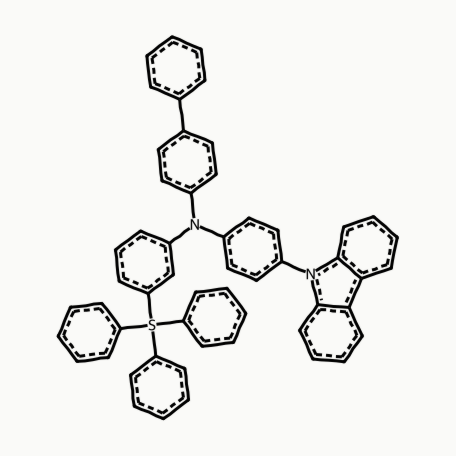 c1ccc(-c2ccc(N(c3ccc(-n4c5ccccc5c5ccccc54)cc3)c3cccc(S(c4ccccc4)(c4ccccc4)c4ccccc4)c3)cc2)cc1